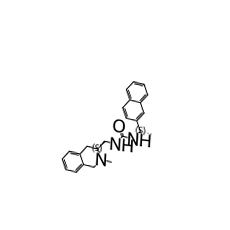 C[C@H](NC(=O)NC[C@@H]1Cc2ccccc2CN1C)c1ccc2ccccc2c1